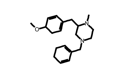 COC1C=CC(CC2CN(CC3=CCCC=C3)CCN2C)=CC1